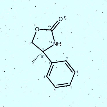 C[C@]1(c2ccccc2)COC(=O)N1